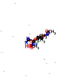 Cc1c(COc2cc(OCc3cncc(C#N)c3)c(CNC(C)(CO)C(=O)O)cc2Cl)cccc1-c1cccc(OCCCN2CCN(C)C(=O)C2)c1C